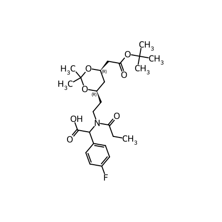 CCC(=O)N(CC[C@@H]1C[C@H](CC(=O)OC(C)(C)C)OC(C)(C)O1)C(C(=O)O)c1ccc(F)cc1